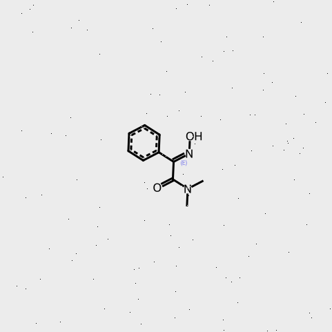 CN(C)C(=O)/C(=N/O)c1ccccc1